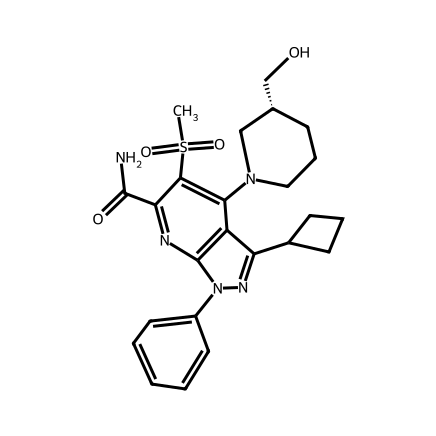 CS(=O)(=O)c1c(C(N)=O)nc2c(c(C3CCC3)nn2-c2ccccc2)c1N1CCC[C@@H](CO)C1